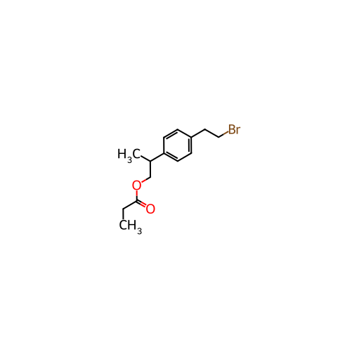 CCC(=O)OCC(C)c1ccc(CCBr)cc1